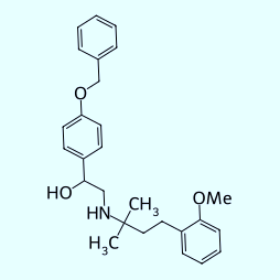 COc1ccccc1CCC(C)(C)NCC(O)c1ccc(OCc2ccccc2)cc1